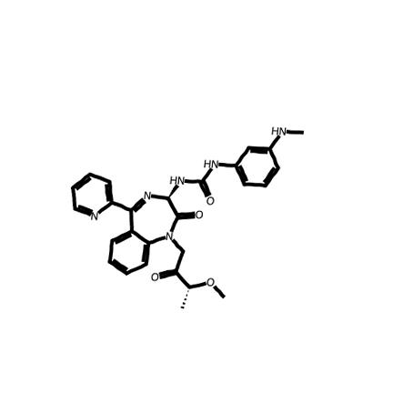 CNc1cccc(NC(=O)N[C@@H]2N=C(c3ccccn3)c3ccccc3N(CC(=O)[C@@H](C)OC)C2=O)c1